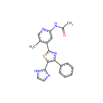 CC(=O)Nc1cc(-c2nc(-c3ccccc3)c(-c3ncc[nH]3)s2)c(C)cn1